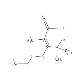 CCCCC1=C(C)C(=O)CCC1(C)C